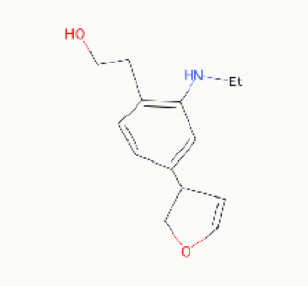 CCNc1cc(C2C=COC2)ccc1CCO